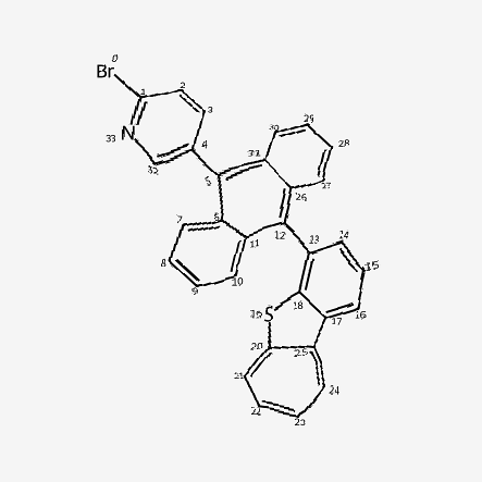 Brc1ccc(-c2c3ccccc3c(-c3cccc4c3sc3ccccc34)c3ccccc23)cn1